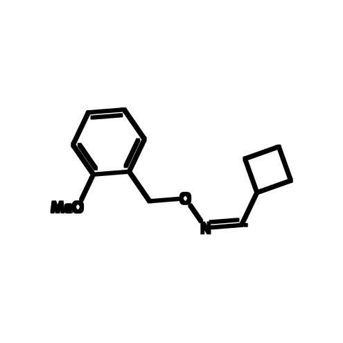 COc1ccccc1CO/N=[C]\C1CCC1